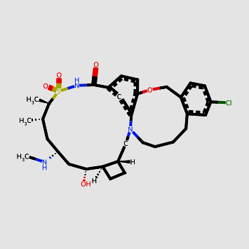 CN[C@H]1C[C@@H](O)[C@@H]2CC[C@H]2CN2CCCCc3cc(Cl)ccc3COc3ccc(cc32)C(=O)NS(=O)(=O)[C@H](C)[C@@H](C)C1